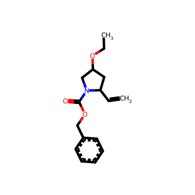 C=CC1CC(OCC)CN1C(=O)OCc1ccccc1